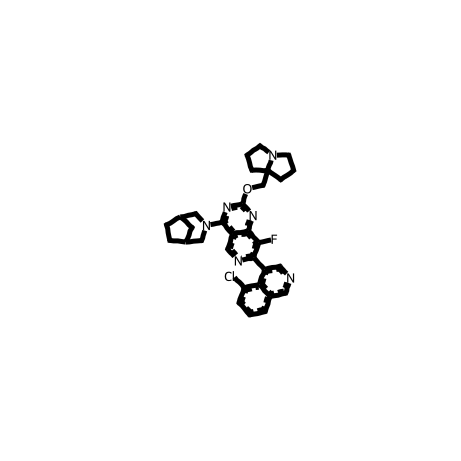 Fc1c(-c2cncc3cccc(Cl)c23)ncc2c(N3CC4CCC(C4)C3)nc(OCC34CCCN3CCC4)nc12